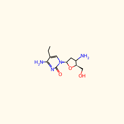 CCc1cn([C@H]2CC(N)[C@@H](CO)O2)c(=O)nc1N